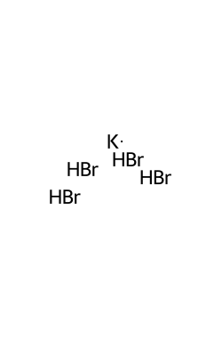 Br.Br.Br.Br.[K]